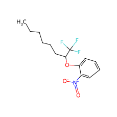 CCCCCCC(Oc1ccccc1[N+](=O)[O-])C(F)(F)F